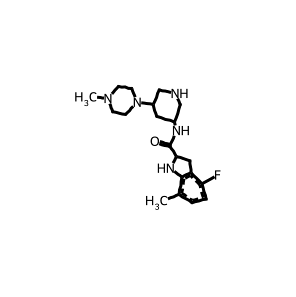 Cc1ccc(F)c2c1NC(C(=O)NC1CNCC(N3CCN(C)CC3)C1)C2